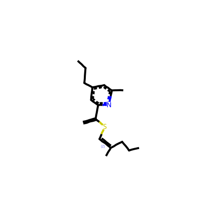 C=C(S/C=C(/C)CCC)c1cc(CCC)cc(C)n1